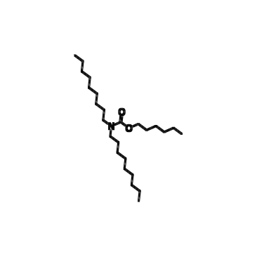 CCCCCCCCCN(CCCCCCCCC)C(=O)OCCCCCC